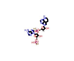 C[C@H]1[C@@H](O)[C@H](n2cc3c4c(ncnc42)NCCC3)O[C@@H]1COP(=O)(S)O[C@@H]1[C@H](O)[C@@H](COP(=O)(O)S)O[C@H]1n1cnc2c(N)ncnc21